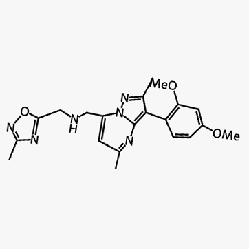 COc1ccc(-c2c(C)nn3c(CNCc4nc(C)no4)cc(C)nc23)c(OC)c1